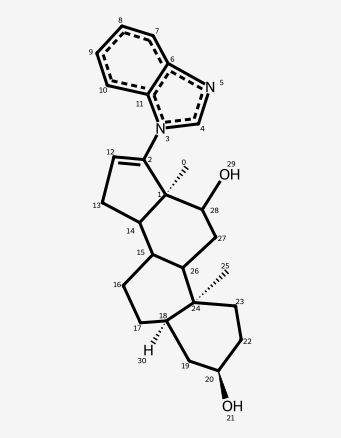 C[C@@]12C(n3cnc4ccccc43)=CCC1C1CC[C@@H]3C[C@H](O)CC[C@]3(C)C1CC2O